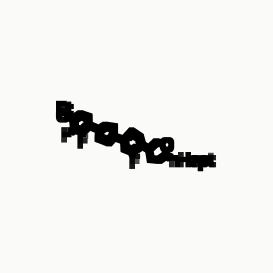 CCCCCCCC1CCC(c2ccc(-c3ccc(-c4ccc(OCC)c(F)c4F)cc3)cc2F)CO1